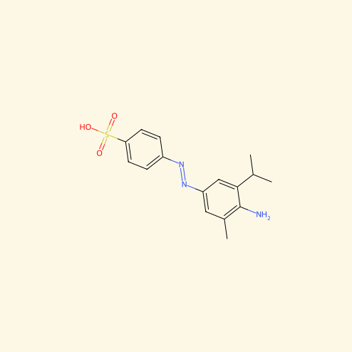 Cc1cc(N=Nc2ccc(S(=O)(=O)O)cc2)cc(C(C)C)c1N